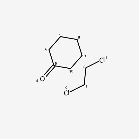 ClCCCl.O=C1CCCCC1